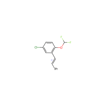 CC(C)/C=C/c1cc(Cl)ccc1OC(F)F